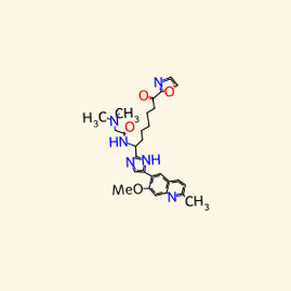 COc1cc2nc(C)ccc2cc1-c1cnc(C(CCCCCC(=O)c2ncco2)NC(=O)CN(C)C)[nH]1